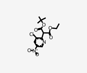 CCOC(=O)C(C(=O)OC(C)(C)C)c1ncc([N+](=O)[O-])cc1Cl